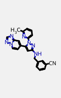 Cc1cccc(-n2nc(NCc3cccc(C#N)c3)cc2-c2ccn3ncnc3c2)n1